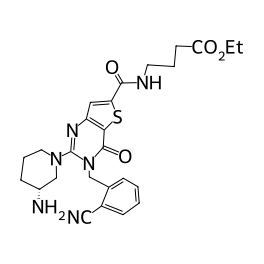 CCOC(=O)CCCNC(=O)c1cc2nc(N3CCC[C@@H](N)C3)n(Cc3ccccc3C#N)c(=O)c2s1